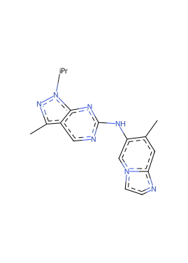 Cc1cc2nccn2cc1Nc1ncc2c(C)nn(C(C)C)c2n1